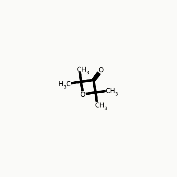 CC1(C)OC(C)(C)C1=O